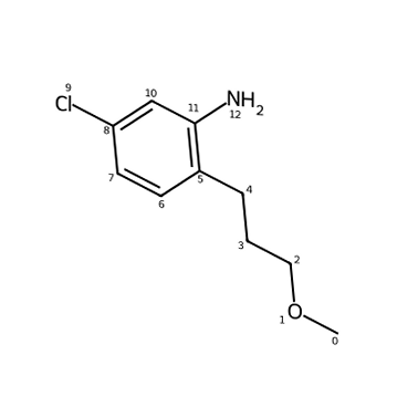 COCCCc1ccc(Cl)cc1N